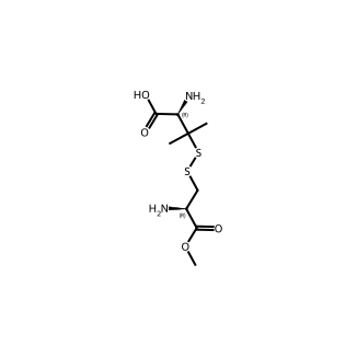 COC(=O)[C@@H](N)CSSC(C)(C)[C@H](N)C(=O)O